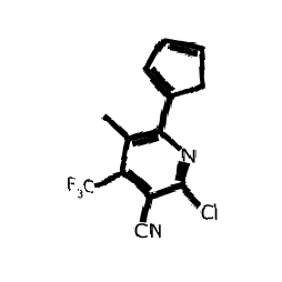 Cc1c(C2=CC=CC2)nc(Cl)c(C#N)c1C(F)(F)F